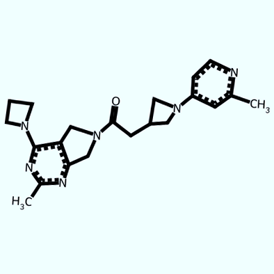 Cc1cc(N2CC(CC(=O)N3Cc4nc(C)nc(N5CCC5)c4C3)C2)ccn1